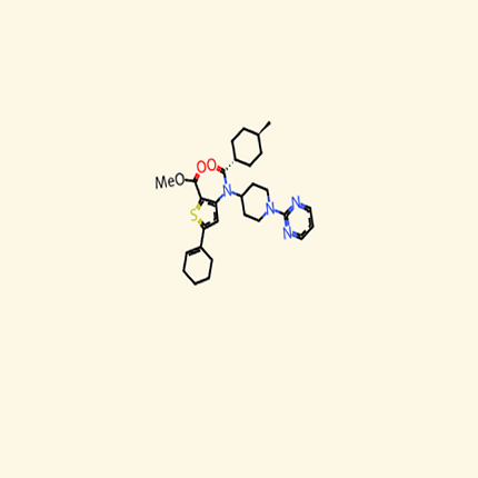 COC(=O)c1sc(C2=CCCCC2)cc1N(C(=O)[C@H]1CC[C@H](C)CC1)C1CCN(c2ncccn2)CC1